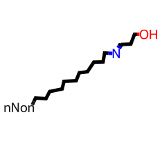 CCCCCCCCCCCCCCCCCCCCN=CCCO